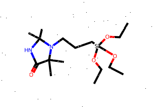 CCO[Si](CCCN1C(C)(C)NC(=O)C1(C)C)(OCC)OCC